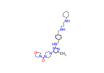 Cc1cc(N2CCN(C(=O)N3CCOCC3)CC2)nc(NCc2ccc(CNCCCNC3CCCCC3)cc2)n1